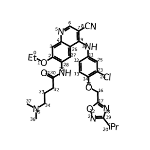 CCOc1cc2ncc(C#N)c(Nc3ccc(OCc4nc(C(C)C)no4)c(Cl)c3)c2cc1NC(=O)CCCN(C)C